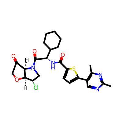 Cc1ncc(-c2ccc(C(=O)N[C@H](C(=O)N3C[C@H](Cl)[C@H]4OCC(=O)[C@H]43)C3CCCCC3)s2)c(C)n1